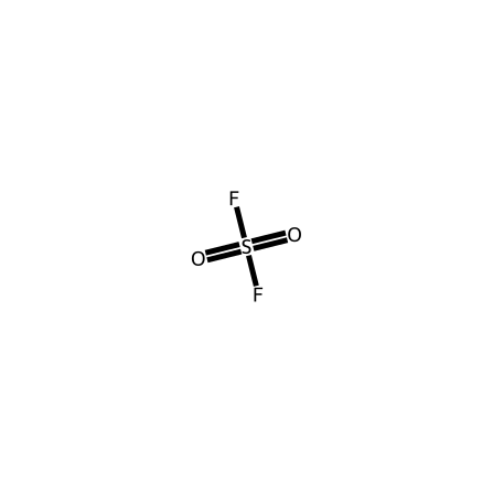 O=S(=O)(F)F